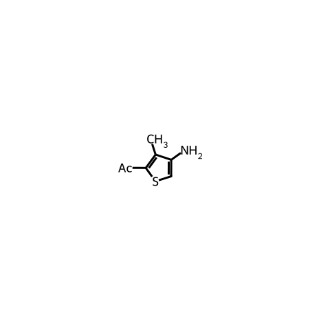 CC(=O)c1scc(N)c1C